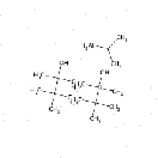 CC(C)(C)[Si](C)(C)O.CC(C)(C)[Si](C)(C)O.C[CH](C)[AlH2]